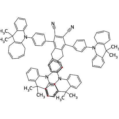 CC1(C)C2=C(CC=CC=C2)N(c2ccc(-c3c(C#N)c(C#N)c(-c4ccc(N5C6=C(C/C=C\C=C/C6)C(C)(C)c6ccccc65)cc4)c(Cc4ccc(N5c6ccccc6C(C)(C)c6ccccc65)cc4)c3Cc3ccc(N4c5ccccc5C(C)(C)c5ccccc54)cc3)cc2)c2ccccc21